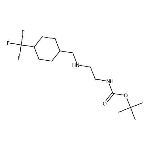 CC(C)(C)OC(=O)NCCNCC1CCC(C(F)(F)F)CC1